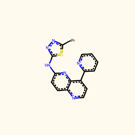 CC(C)c1nnc(Nc2ccc3nccc(-c4ccccn4)c3n2)s1